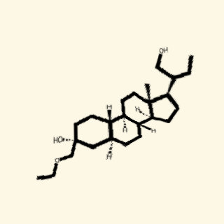 CCOC[C@@]1(O)CC[C@H]2[C@@H](CC[C@@H]3[C@@H]2CC[C@]2(C)[C@@H](C(CC)CO)CC[C@@H]32)C1